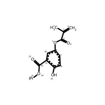 C=C(C)C(=O)Oc1ccc(O)c(C(=O)OC(C)C)c1